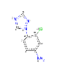 Nc1ccc(-n2cncn2)c(Cl)c1